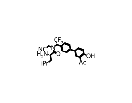 CC(=O)c1cc(-c2ccc([C@H](N(CC#N)C(=O)[C@@H](N)CC(C)C)C(F)(F)F)cc2)ccc1O